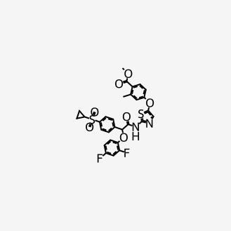 COC(=O)c1ccc(Oc2cnc(NC(=O)C(Oc3ccc(F)cc3F)c3ccc(S(=O)(=O)C4CC4)cc3)s2)cc1C